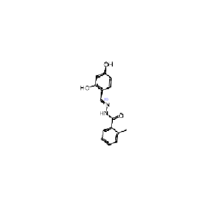 Cc1ccccc1C(=O)N/N=C/c1ccc(O)cc1O